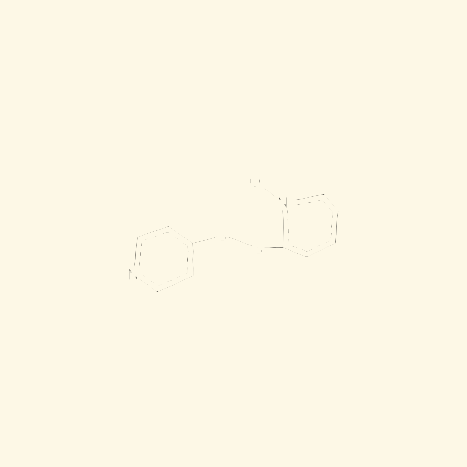 [O-][n+]1ccccc1SSc1ccncc1